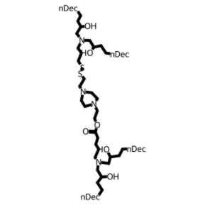 CCCCCCCCCCCCC(O)CN(CCCCC(=O)OCCN1CCN(CCSSCCCN(CC(O)CCCCCCCCCCCC)CC(O)CCCCCCCCCCCC)CC1)CC(O)CCCCCCCCCCCC